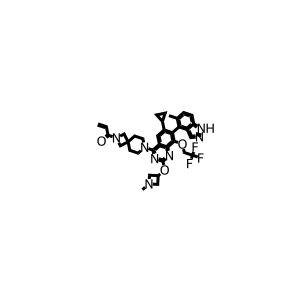 C=CC(=O)N1CC2(CCN(c3nc(OC4CN(C)C4)nc4c(OCC(F)(F)F)c(-c5c(C)ccc6[nH]ncc56)c(C5CC5)cc34)CC2)C1